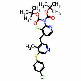 Cc1c(Cc2ccnc(N(C(=O)OC(C)(C)C)C(=O)OC(C)(C)C)c2F)cncc1Sc1ccc(Cl)cc1